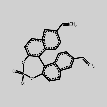 C=Cc1ccc2c3c(ccc2c1)OP(=O)(O)Oc1ccc2cc(C=C)ccc2c1-3